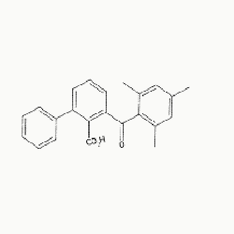 Cc1cc(C)c(C(=O)c2cccc(-c3ccccc3)c2C(=O)O)c(C)c1